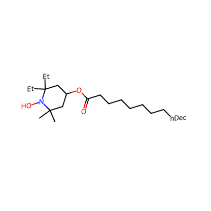 CCCCCCCCCCCCCCCCCC(=O)OC1CC(C)(C)N(O)C(CC)(CC)C1